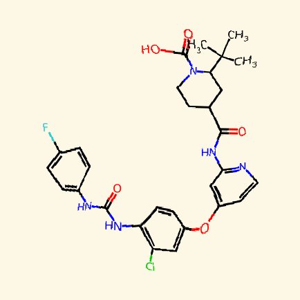 CC(C)(C)C1CC(C(=O)Nc2cc(Oc3ccc(NC(=O)Nc4ccc(F)cc4)c(Cl)c3)ccn2)CCN1C(=O)O